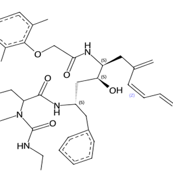 C=C/C=C\C(=C)C[C@H](NC(=O)COc1c(C)cccc1C)[C@@H](O)C[C@H](Cc1ccccc1)NC(=O)C(CC)N(C)C(=O)NCC